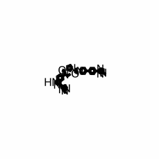 CCN(C(=O)[C@@H]1CCN(CC(=O)N2CC=C(c3ccc(-c4ncn(C)n4)cc3)CC2)C1)c1ccc2[nH]nc(-c3cnn(C)n3)c2c1